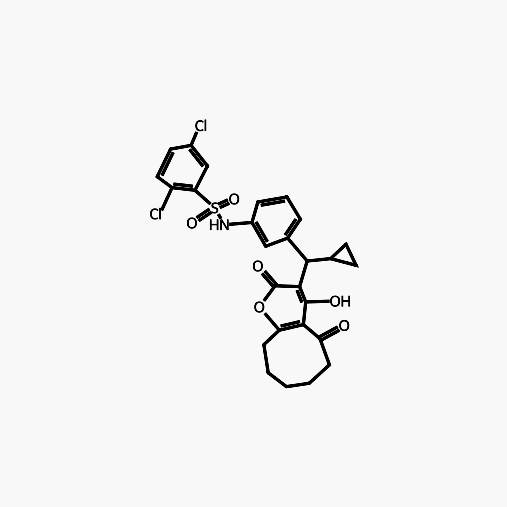 O=C1CCCCCc2oc(=O)c(C(c3cccc(NS(=O)(=O)c4cc(Cl)ccc4Cl)c3)C3CC3)c(O)c21